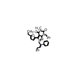 CC(=O)OCc1ccc(-c2c3c(=O)n(C)c(=O)n(CC(C)C)c3nn2C/C(=C\CC(C)C)c2ccccc2)o1